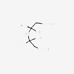 CC(C)(CC(=O)O)NC(C)(C)CC(=O)O